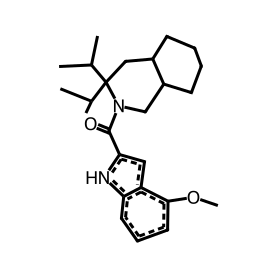 COc1cccc2[nH]c(C(=O)N3CC4CCCCC4CC3(C(C)C)C(C)C)cc12